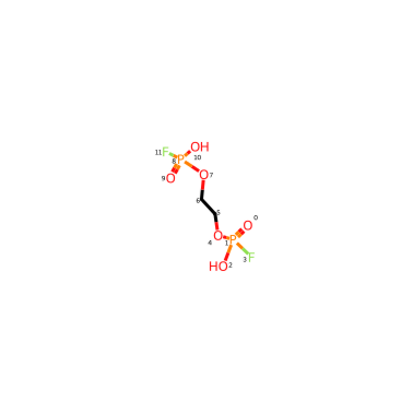 O=P(O)(F)OCCOP(=O)(O)F